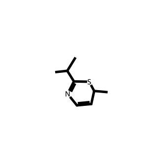 CC1C=CN=C(C(C)C)S1